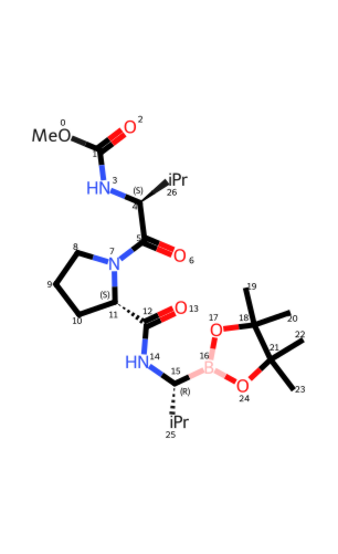 COC(=O)N[C@H](C(=O)N1CCC[C@H]1C(=O)N[C@H](B1OC(C)(C)C(C)(C)O1)C(C)C)C(C)C